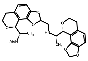 CN[C@@H](C)[C@H]1OCCc2ccc3c(c21)OC(CN[C@@H](C)[C@@H]1OCCc2ccc4c(c21)OCO4)O3